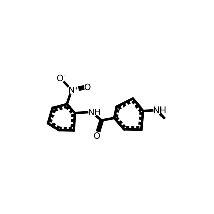 CNc1ccc(C(=O)Nc2ccccc2[N+](=O)[O-])cc1